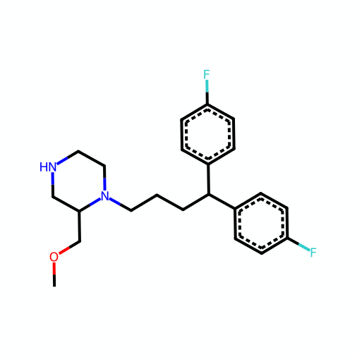 COCC1CNCCN1CCCC(c1ccc(F)cc1)c1ccc(F)cc1